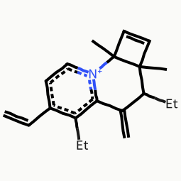 C=Cc1cc[n+]2c(c1CC)C(=C)C(CC)C1(C)C=CC21C